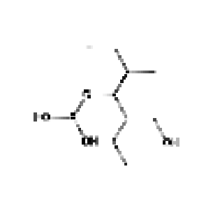 CCC(C)C(OP(O)O)C(CC)CO